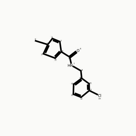 Cc1ccc(C(=O)NCc2cccc(Cl)c2)cc1